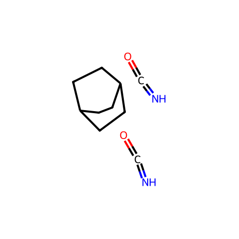 C1CC2CCC1CC2.N=C=O.N=C=O